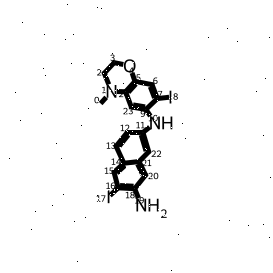 CN1CCOc2cc(I)c(Nc3ccc4cc(I)c(N)cc4c3)cc21